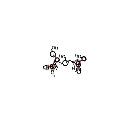 Nc1nnc(-c2ccccc2O)cc1N1CC2CCC(C1)N2c1ccnc(C#CCN2CCCC(Oc3ccccc3-c3cc(N4CC5CCC(C4)N5c4ccnc(C#CCN5CCCC(CO)CC5)c4)c(N)nn3)CC2CO)c1